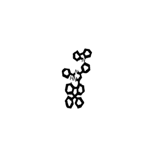 C1=C(c2cccc3c2-c2ccccc2C3(c2ccccc2)c2ccccc2)NC(c2ccccc2)N=C1c1cccc(-n2c3ccccc3c3ccccc32)c1